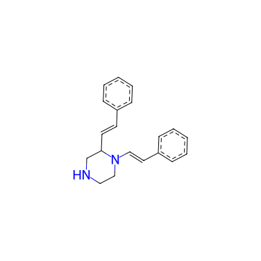 C(=C\C1CNCCN1/C=C/c1ccccc1)/c1ccccc1